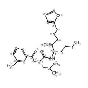 CCCC[C@H](NC(=O)[C@H](CC(C)C)NC(=O)c1cccc(C)c1)C(=O)CSCc1ccco1